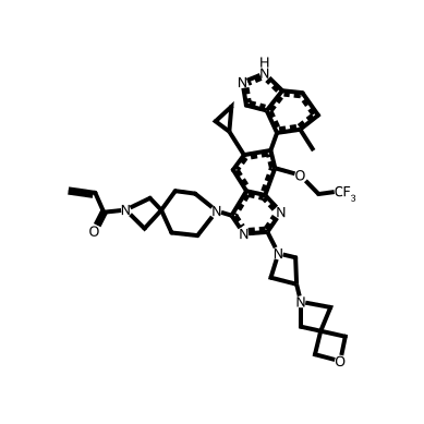 C=CC(=O)N1CC2(CCN(c3nc(N4CC(N5CC6(COC6)C5)C4)nc4c(OCC(F)(F)F)c(-c5c(C)ccc6[nH]ncc56)c(C5CC5)cc34)CC2)C1